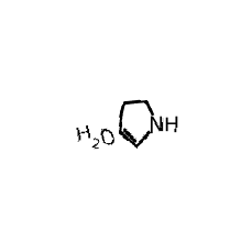 C1=CNCC1.O